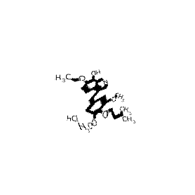 CCOc1ccc2c(Cc3cc(OC)c(OCCC(C)C)c(OC)c3)cncc2c1O.Cl